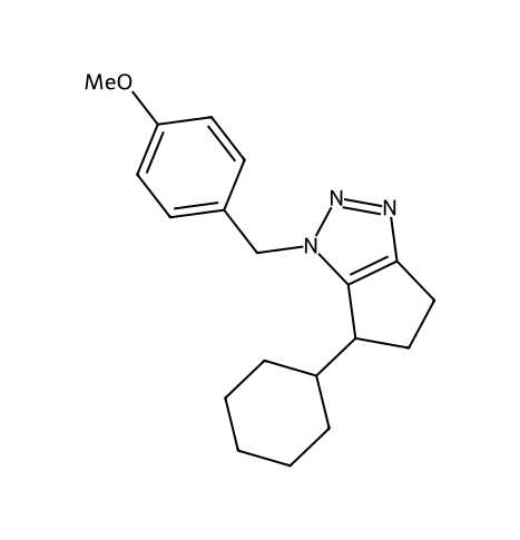 COc1ccc(Cn2nnc3c2C(C2CCCCC2)CC3)cc1